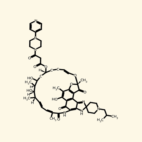 C/C1=C/C=C/[C@H](C)[C@H](O)[C@@H](C)C(O)C[C@H](OC(=O)CC(=O)N2CCN(c3ccncc3)CC2)CC/C=C/O[C@@]2(C)Oc3c(C)c(O)c4c(c3C2=O)C2=NC3(CCN(CC(C)C)CC3)NC2=C(NC1=O)C4=O